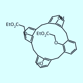 CCOC(=O)COc1c2cccc1Cc1cccc(c1O)Cc1cccc(c1OCC(=O)OCC)Cc1cccc(c1O)C2